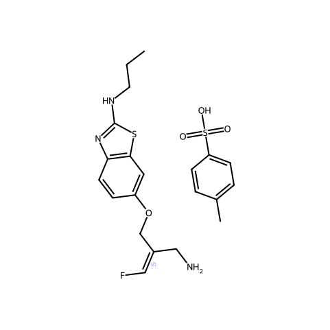 CCCNc1nc2ccc(OC/C(=C\F)CN)cc2s1.Cc1ccc(S(=O)(=O)O)cc1